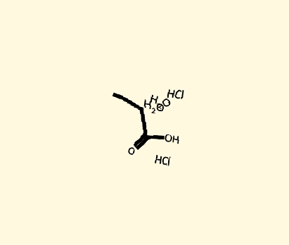 CCC(=O)O.Cl.Cl.O.O